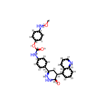 CONc1ccc(OC(=O)Nc2ccc(C3=NNC(=O)C(c4cccc5ncccc45)C3)cc2)cc1